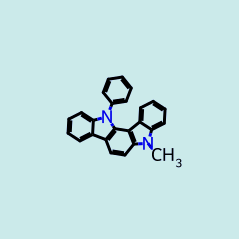 Cn1c2ccccc2c2c1ccc1c3ccccc3n(-c3ccccc3)c12